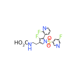 O=C(O)NCCc1cn(S(=O)(=O)c2cncc(F)c2)c(-c2cccnc2F)c1F